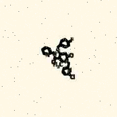 Cc1c2c(=O)n(-c3ccccn3)n(Cc3ccc(F)cc3)c2cc(=O)n1Cc1cccc(Cl)n1